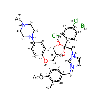 CC(=O)Oc1ccc(C[n+]2ccn(C[C@]3(c4ccc(Cl)cc4Cl)OC[C@H](COc4ccc(N5CCN(C(C)=O)CC5)cc4)O3)c2)cc1C.[Br-]